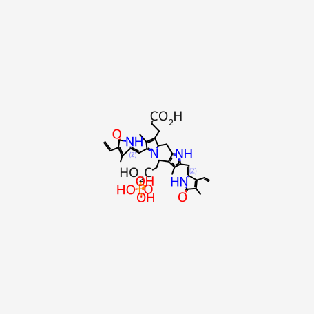 C=CC1=C(C)/C(=C/C2=NC(Cc3[nH]c(/C=C4\NC(=O)C(C)=C4C=C)c(C)c3CCC(=O)O)C(CCC(=O)O)=C2C)NC1=O.O=P(O)(O)O